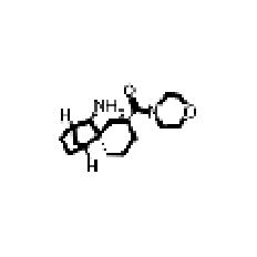 N[C@@H]1[C@H]2CC[C@H](C2)[C@@]12CCC[C@@H](C(=O)N1CCOCC1)C2